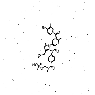 Cc1cc(C(=O)N2Cc3c(c(=O)n(-c4ccc(C(=O)N(C)COP(C)(=O)O)cc4)c4c(CC5CC5)cnn34)CC2C)ccc1Br